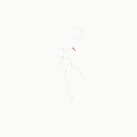 CCCCCCCC(C)(CCCC)NC(=O)N1CCCC1